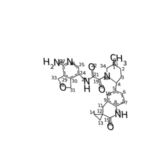 C[C@H]1CCC(c2ccc3c(c2)CC2(CC2)C(=O)N3)N(C(=O)C(=O)Nc2cnc(N)c3c2COC3)C1